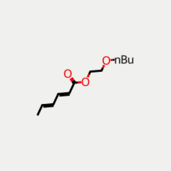 C/C=C/C=C/C(=O)OCCOCCCC